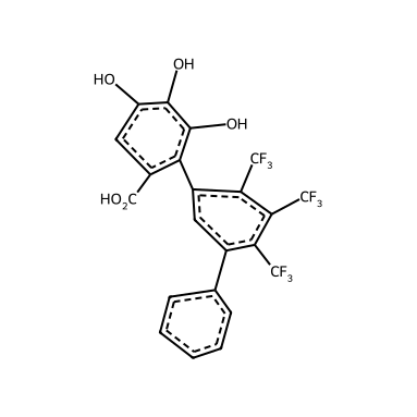 O=C(O)c1cc(O)c(O)c(O)c1-c1cc(-c2ccccc2)c(C(F)(F)F)c(C(F)(F)F)c1C(F)(F)F